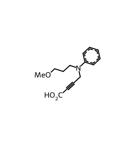 COCCCN(CC#CC(=O)O)c1ccccc1